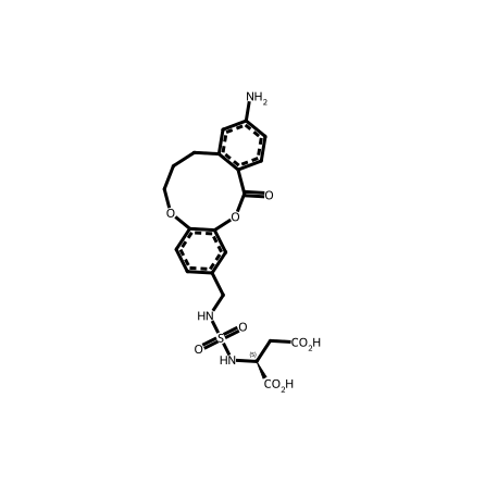 Nc1ccc2c(c1)CCCOc1ccc(CNS(=O)(=O)N[C@@H](CC(=O)O)C(=O)O)cc1OC2=O